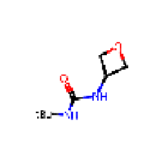 CC(C)(C)NC(=O)NC1COC1